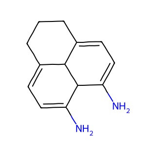 NC1=CC=C2CCCC3=CC=C(N)C1C23